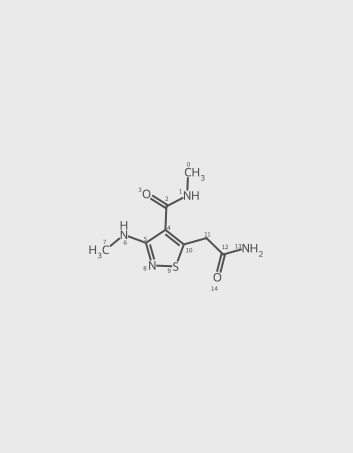 CNC(=O)c1c(NC)nsc1CC(N)=O